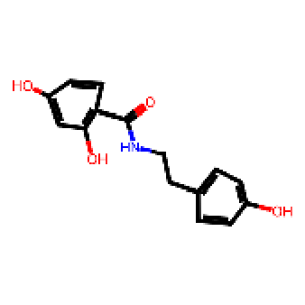 O=C(NCCc1ccc(O)cc1)c1ccc(O)cc1O